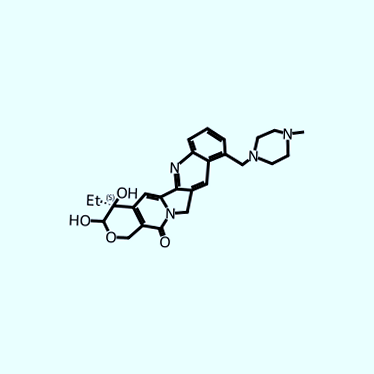 CC[C@]1(O)c2cc3n(c(=O)c2COC1O)Cc1cc2c(CN4CCN(C)CC4)cccc2nc1-3